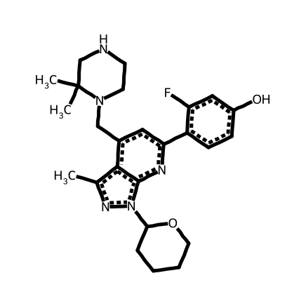 Cc1nn(C2CCCCO2)c2nc(-c3ccc(O)cc3F)cc(CN3CCNCC3(C)C)c12